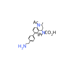 CC(=O)N1c2ccc(-c3ccc(CCN)cc3)cc2[C@H](N(C(=O)O)C(C)C)C[C@@H]1C